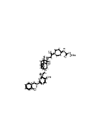 CC(C)(C)OC(=O)NC1CCN(C(=O)CN[C@@H]2[C@@H]3CC4C[C@H]2C[C@](CNc2nc(NCc5ccccc5Cl)ncc2C#N)(C4)C3)CC1